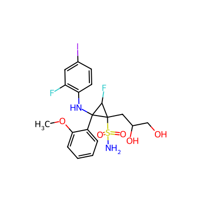 COc1ccccc1C1(Nc2ccc(I)cc2F)C(F)C1(CC(O)CO)S(N)(=O)=O